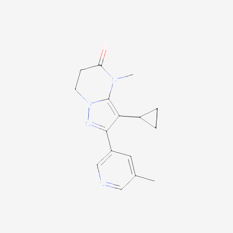 Cc1cncc(-c2nn3c(c2C2CC2)N(C)C(=O)CC3)c1